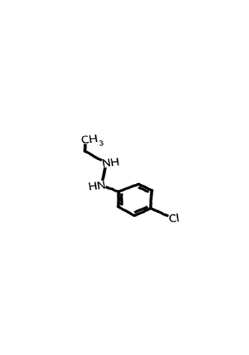 CCNNc1ccc(Cl)cc1